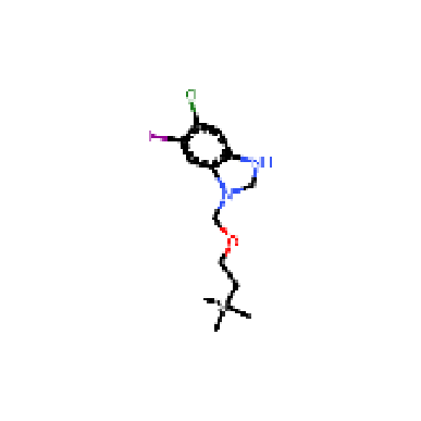 C[Si](C)(C)CCOCN1CNc2cc(Cl)c(I)cc21